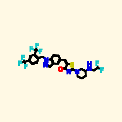 O=C1N=C(N2CCC[C@H](NCC(F)F)C2)SC1=Cc1ccc2c(cnn2Cc2ccc(C(F)(F)F)cc2C(F)(F)F)c1